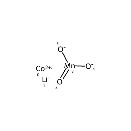 [Co+2].[Li+].[O]=[Mn]([O-])[O-]